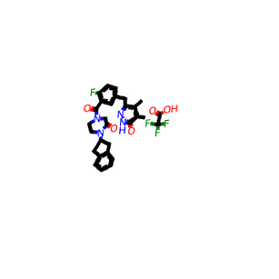 Cc1c(Cc2ccc(F)c(C(=O)N3CCN(C4Cc5ccccc5C4)C(=O)C3)c2)n[nH]c(=O)c1C.O=C(O)C(F)(F)F